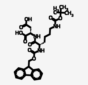 CC(C)(C)OC(=O)NCCCC[C@H](NC(=O)OCC1c2ccccc2-c2ccccc21)C(=O)N[C@@H](CC(=O)O)C(=O)O